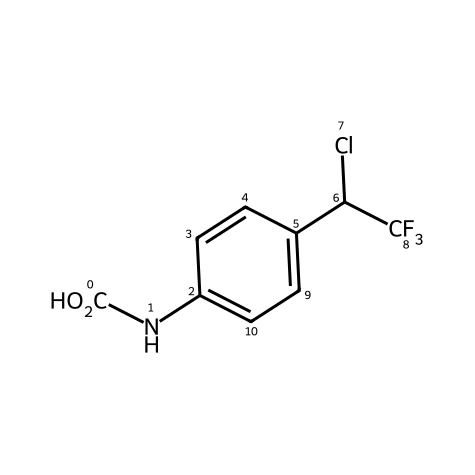 O=C(O)Nc1ccc(C(Cl)C(F)(F)F)cc1